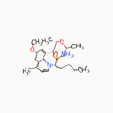 CCCCC(C(N)=O)[n+]1ccc(C)c2cc(OC)cc([C@H]3SCC(C)O[C@H]3C)c21